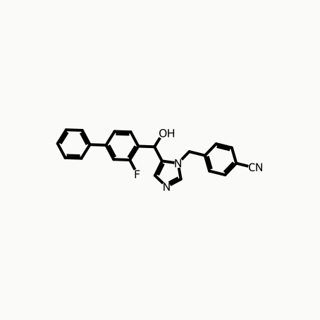 N#Cc1ccc(Cn2cncc2C(O)c2ccc(-c3ccccc3)cc2F)cc1